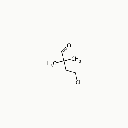 CC(C)(C=O)CCCl